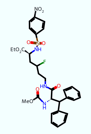 CCOC(=O)[C@H](CC(F)CCNC(=O)[C@@H](NC(=O)OC)C(c1ccccc1)c1ccccc1)NS(=O)(=O)c1ccc([N+](=O)[O-])cc1